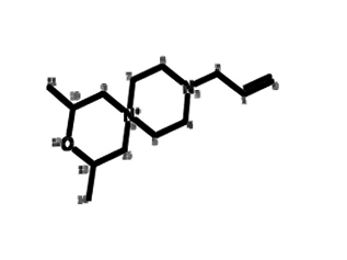 C=CCN1CC[N+]2(CC1)CC(C)OC(C)C2